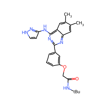 Cc1cc2nc(-c3cccc(OCC(=O)NC(C)(C)C)c3)nc(Nc3cc[nH]n3)c2cc1C